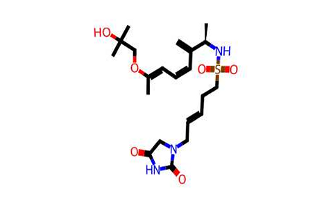 C=C(/C=C\C=C(/C)OCC(C)(C)O)[C@@H](C)NS(=O)(=O)CC/C=C/CN1CC(=O)NC1=O